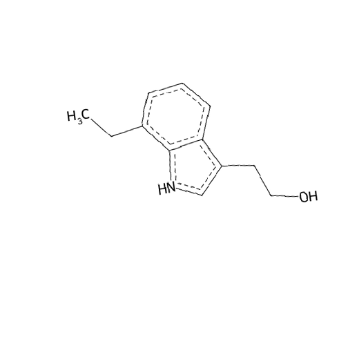 CCc1cccc2c(CCO)c[nH]c12